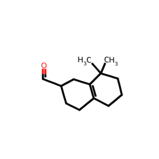 CC1(C)CCCC2=C1CC(C=O)CC2